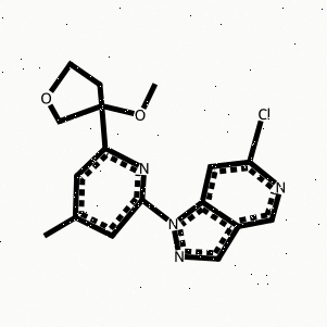 COC1(c2cc(C)cc(-n3ncc4cnc(Cl)cc43)n2)CCOC1